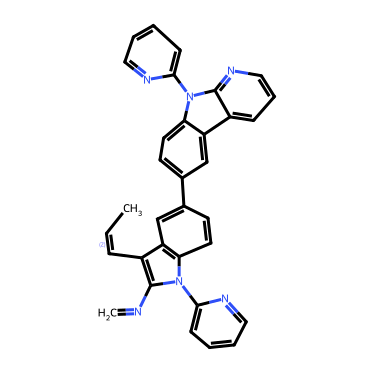 C=Nc1c(/C=C\C)c2cc(-c3ccc4c(c3)c3cccnc3n4-c3ccccn3)ccc2n1-c1ccccn1